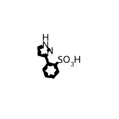 O=S(=O)(O)c1ccccc1-c1cc[nH]n1